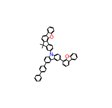 CC1(C)c2cc(-n3c4ccc(-c5ccc(-c6ccccc6)cc5)cc4c4cc(-c5cccc6c5oc5ccccc56)ccc43)ccc2-c2c1ccc1c2oc2ccccc21